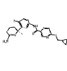 C[C@@]1(c2cc(NC(=O)c3cnc(OCC4CC4)cn3)ccc2F)CCSC(N)=N1